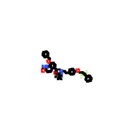 CC(C)(C)[Si](C)(C)O[C@@H](CNCCc1ccc(OCCC(F)(F)c2ccccc2)cc1)c1ccc(OCc2ccccc2)c2[nH]c(=O)ccc12